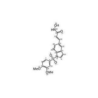 COc1ccc(S(=O)(=O)n2ccc3cc(/C=C/C(=O)NO)cnc32)cc1OC